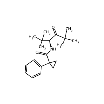 CC(C)(C)C(=O)[C@@H](NC(=O)C1(c2ccccc2)CC1)C(C)(C)C